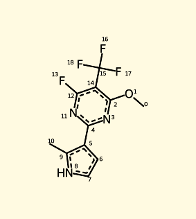 COc1nc(-c2cc[nH]c2C)nc(F)c1C(F)(F)F